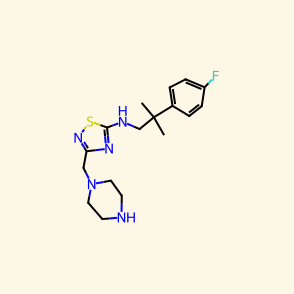 CC(C)(CNc1nc(CN2CCNCC2)ns1)c1ccc(F)cc1